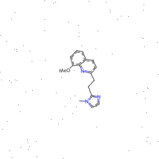 COc1cccc2ccc(CCc3nccn3C)nc12